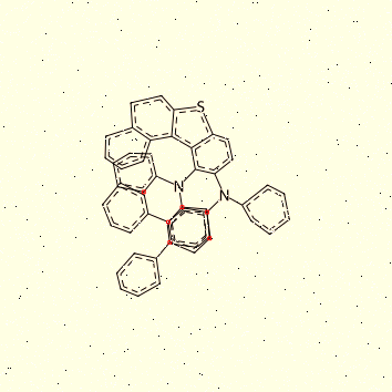 c1ccc(-c2ccc(N(c3ccccc3)c3ccc4sc5ccc6ccccc6c5c4c3N(c3ccccc3)c3ccccc3-c3ccccc3)cc2)cc1